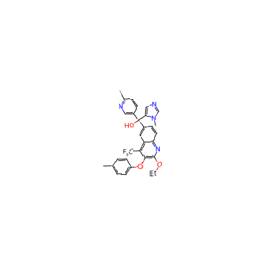 CCOc1nc2ccc(C(O)(c3ccc(C)nc3)c3cncn3C)cc2c(C(F)(F)F)c1Oc1ccc(C)cc1